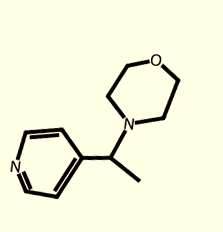 CC(c1ccncc1)N1CCOCC1